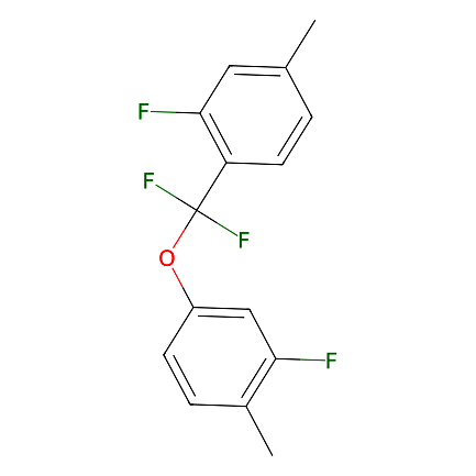 Cc1ccc(C(F)(F)Oc2ccc(C)c(F)c2)c(F)c1